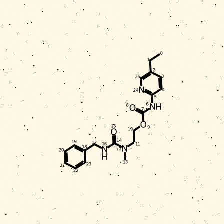 CCc1ccc(NC(=O)OCCN(C)C(=O)NCc2ccccc2)nc1